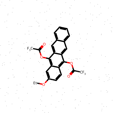 CCOc1ccc2c(OC(=O)C(F)(F)F)c3cc4ccccc4cc3c(OC(=O)C(F)(F)F)c2c1